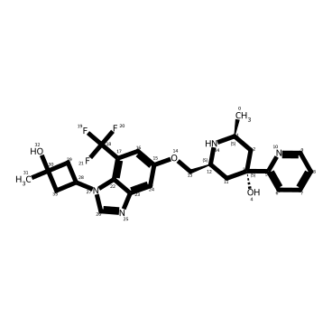 C[C@H]1C[C@@](O)(c2ccccn2)C[C@@H](COc2cc(C(F)(F)F)c3c(c2)ncn3C2CC(C)(O)C2)N1